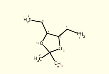 CC1(C)OC(CP)C(CP)O1